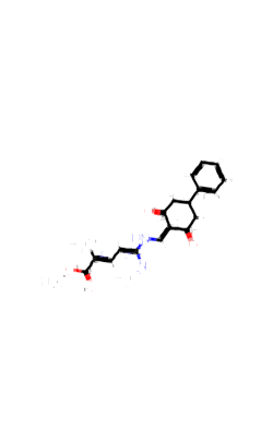 C=N/C(=C\C=C(/C)C(=O)OC)NC=C1C(=O)CC(c2ccccc2)CC1=O